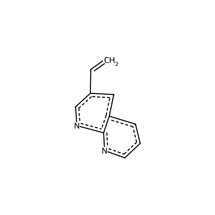 C=Cc1cnc2ncccc2c1